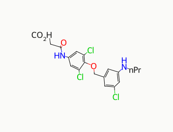 CCCNc1cc(Cl)cc(COc2c(Cl)cc(NC(=O)CC(=O)O)cc2Cl)c1